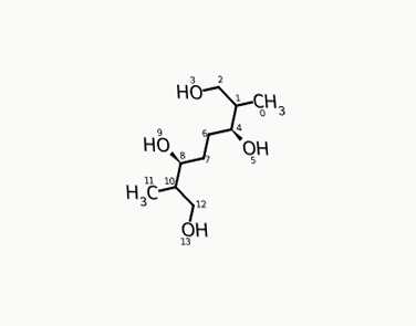 CC(CO)[C@@H](O)CC[C@H](O)C(C)CO